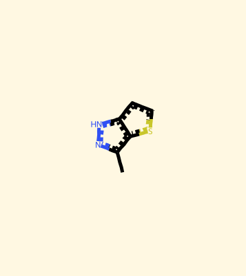 Cc1n[nH]c2c[c]sc12